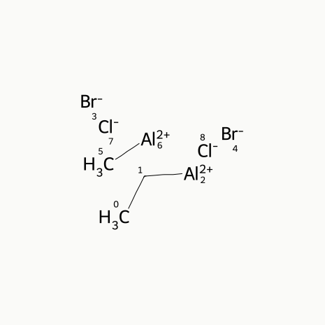 C[CH2][Al+2].[Br-].[Br-].[CH3][Al+2].[Cl-].[Cl-]